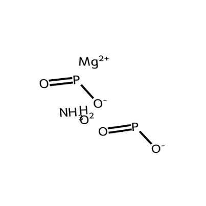 N.O.O=P[O-].O=P[O-].[Mg+2]